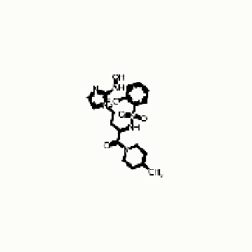 CC1CCN(C(=O)C(CCn2ccnc2NO)NS(=O)(=O)c2ccccc2C(F)(F)F)CC1